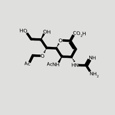 CC(=O)CO[C@@H]([C@@H]1OC(C(=O)O)=C[C@H](NC(=N)N)[C@H]1NC(C)=O)[C@H](O)CO